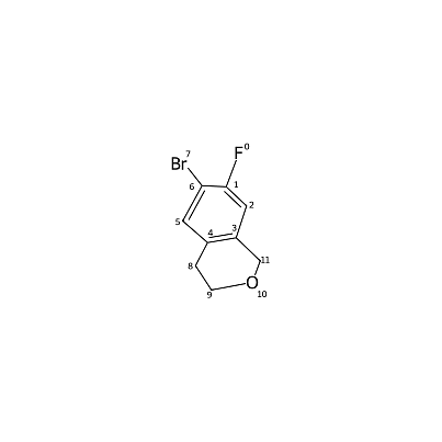 Fc1cc2c(cc1Br)CCOC2